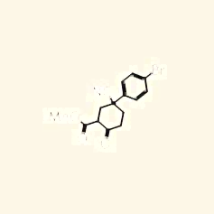 COC(=O)C1CC(C#N)(c2ccc(Br)cc2)CCC1=O